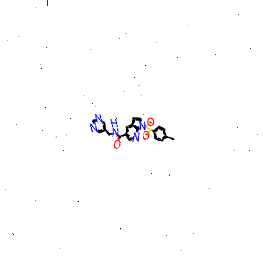 Cc1ccc(S(=O)(=O)n2ccc3cc(C(=O)NCc4cncnc4)cnc32)cc1